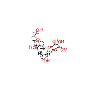 CC(C)(O)[C@@H]1CC[C@@](C)([C@H]2CC[C@]3(C)[C@@H]2[C@H](O)C[C@@H]2[C@@]4(C)CC[C@H](O)C(C)(C)[C@@H]4[C@@H](O[C@@H]4O[C@H](CO)[C@@H](O)[C@H](O)[C@H]4O)C[C@]23C)O1